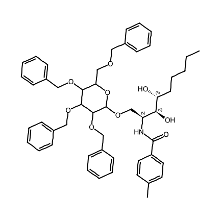 CCCCC[C@@H](O)[C@@H](O)[C@H](COC1OC(COCc2ccccc2)C(OCc2ccccc2)C(OCc2ccccc2)C1OCc1ccccc1)NC(=O)c1ccc(C)cc1